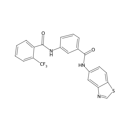 O=C(Nc1ccc2scnc2c1)c1cccc(NC(=O)c2ccccc2C(F)(F)F)c1